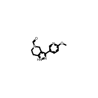 COc1ccc(-c2n[nH]c3c2CN(C=O)CC3)cn1